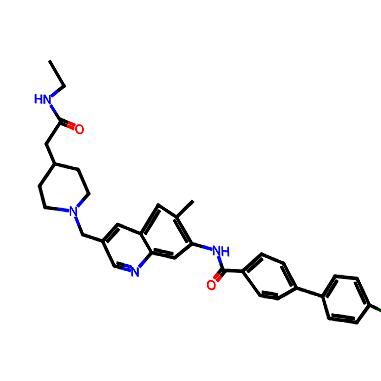 CCNC(=O)CC1CCN(Cc2cnc3cc(NC(=O)c4ccc(-c5ccc(F)cc5)cc4)c(C)cc3c2)CC1